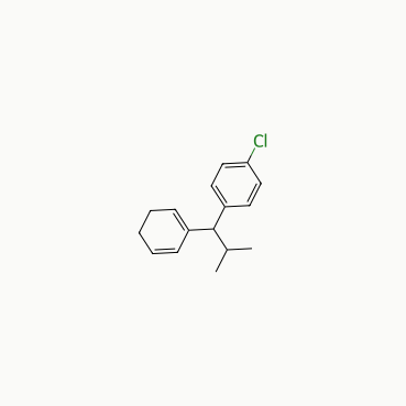 CC(C)C(C1=CCCC=C1)c1ccc(Cl)cc1